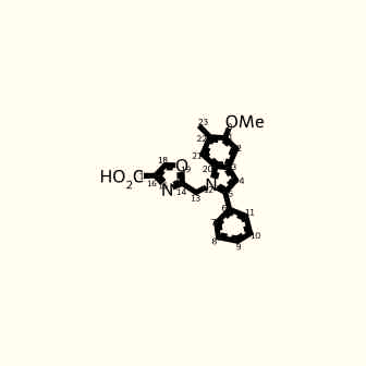 COc1cc2cc(-c3ccccc3)n(Cc3nc(C(=O)O)co3)c2cc1C